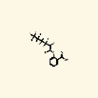 O=C(O)c1ccccc1OC(F)=C(F)C(F)(F)C(F)(F)C(F)(F)C(F)(F)F